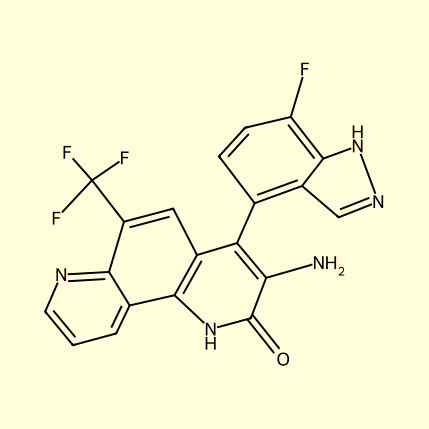 Nc1c(-c2ccc(F)c3[nH]ncc23)c2cc(C(F)(F)F)c3ncccc3c2[nH]c1=O